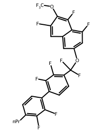 CCCc1ccc(-c2ccc(C(F)(F)Oc3cc(F)c4c(F)c(OC(F)(F)F)c(F)cc4c3)c(F)c2F)c(F)c1F